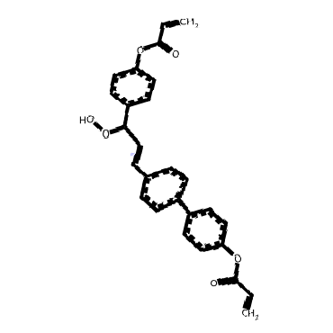 C=CC(=O)Oc1ccc(-c2ccc(/C=C/C(OO)c3ccc(OC(=O)C=C)cc3)cc2)cc1